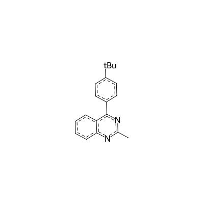 Cc1nc(-c2ccc(C(C)(C)C)cc2)c2ccccc2n1